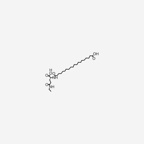 CCNC(=O)CC[C@H](NC(=O)CCCCCCCCCCCCCCCCCCC(=O)O)C(=O)O